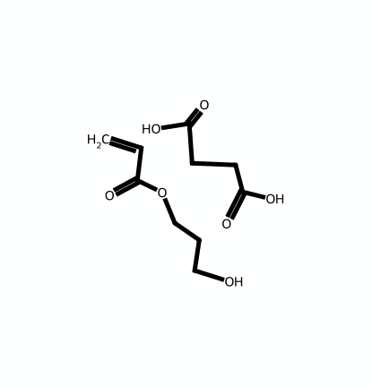 C=CC(=O)OCCCO.O=C(O)CCC(=O)O